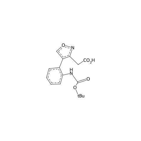 CC(C)(C)OC(=O)Nc1ccccc1-c1conc1CC(=O)O